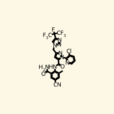 Cc1cc(C#N)cc(C(N)=O)c1NC(=O)c1cc(Cn2cc(C(F)(C(F)(F)F)C(F)(F)F)nn2)nn1-c1ncccc1Cl